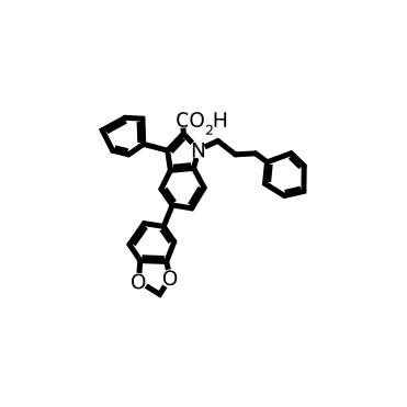 O=C(O)c1c(-c2ccccc2)c2cc(-c3ccc4c(c3)OCO4)ccc2n1CCCc1ccccc1